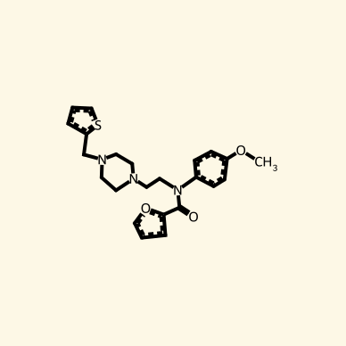 COc1ccc(N(CCN2CCN(Cc3cccs3)CC2)C(=O)c2ccco2)cc1